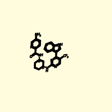 Nc1ccc(C(=O)N[C@H]2CCC[C@@H](Nc3ncc(C(F)(F)F)c(-c4c[nH]c5ccccc45)n3)C2)nc1